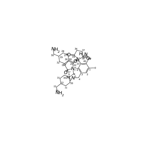 Cc1cc(CN)c([N+]2(CC3CCC(CN)CC3)C(=O)CCC2=O)c([N+]2(CC3CCC(CN)CC3)C(=O)CCC2=O)c1CN